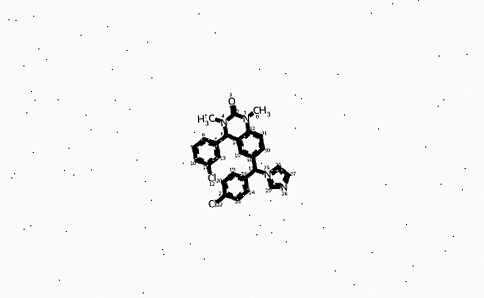 CN1C(=O)N(C)C(c2cccc(Cl)c2)c2cc(C(c3ccc(Cl)cc3)n3ccnc3)ccc21